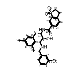 CCc1cccc(CNC[C@H](O)[C@H](Cc2cc(F)cc(F)c2)NC(=O)c2ccc3c(c2)S(=O)(=O)CC3)c1